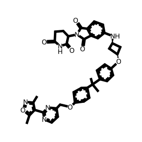 Cc1noc(C)c1-c1nccc(COc2ccc(C(C)(C)c3ccc(O[C@H]4C[C@H](Nc5ccc6c(c5)C(=O)N(C5CCC(=O)NC5=O)C6=O)C4)cc3)cc2)n1